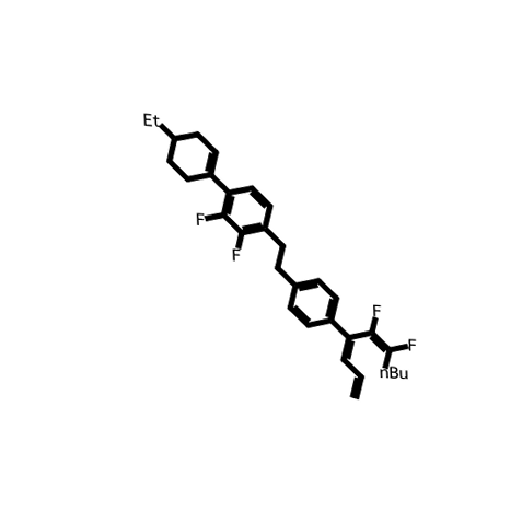 C=C/C=C(\C(F)=C(\F)CCCC)c1ccc(CCc2ccc(C3=CCC(CC)CC3)c(F)c2F)cc1